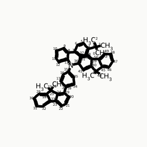 CC(C)(C)c1ccc(-c2ccccc2N(c2ccc(-c3cccc4c3C(C)(C)c3ccccc3-4)cc2)c2ccc3c(c2)C(C)(C)c2ccccc2-3)cc1